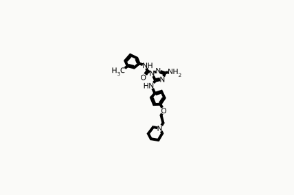 Cc1cccc(NC(=O)n2nc(N)nc2Nc2ccc(OCCN3CCCCC3)cc2)c1